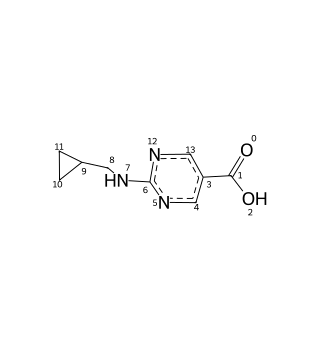 O=C(O)c1cnc(NCC2CC2)nc1